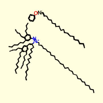 CCCCCCCCCCCCCCCCCCC=[CH][Ni][O]c1ccccc1.CCCCCCCCCCCCCCCCCCCCCCCCCCCC[N+](=Nc1cc(CCCC)c(CCCC)c(CCCCCC)c1)C(=Cc1cc(CCCC)c(CCCCCCCC)c(CCCCCC)c1)CCCCCCCCCCCCC